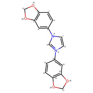 c1cc2c(cc1-n1cc[n+](-c3ccc4c(c3)OCO4)c1)OCO2